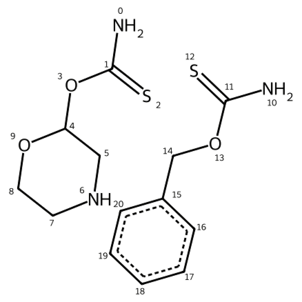 NC(=S)OC1CNCCO1.NC(=S)OCc1ccccc1